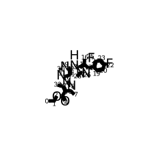 CCOC(=O)c1c(C)nn(-c2cc(Nc3c(C)c(-c4ccc(F)cc4F)nn3C)ncn2)c1C